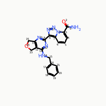 NC(=O)c1cccc2c(-c3nc4c(c(NCc5ccccc5)n3)COC4)nnn12